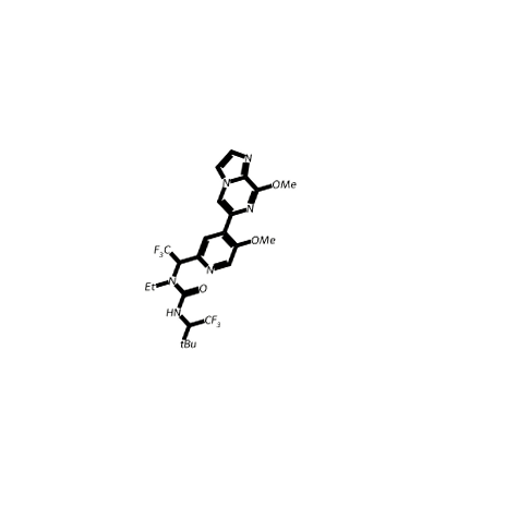 CCN(C(=O)NC(C(C)(C)C)C(F)(F)F)C(c1cc(-c2cn3ccnc3c(OC)n2)c(OC)cn1)C(F)(F)F